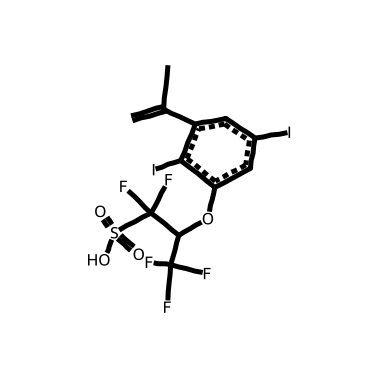 C=C(C)c1cc(I)cc(OC(C(F)(F)F)C(F)(F)S(=O)(=O)O)c1I